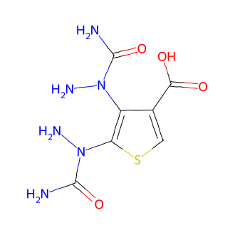 NC(=O)N(N)c1scc(C(=O)O)c1N(N)C(N)=O